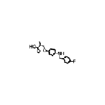 CC(COc1ccc(NCc2ccc(F)cc2)cc1)C(=O)O